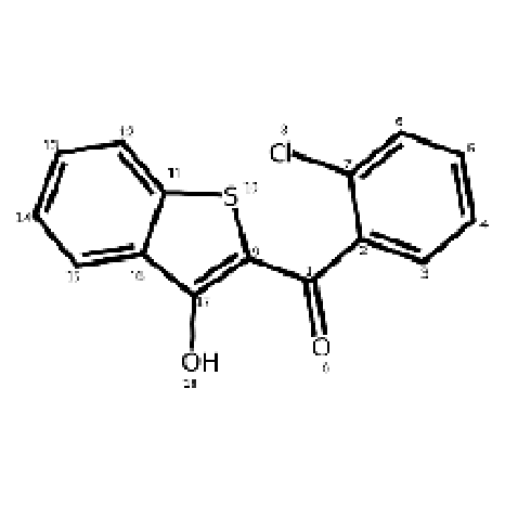 O=C(c1ccccc1Cl)c1sc2ccccc2c1O